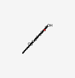 CCCCCCCCCCCC(=O)OCCOCCOCCOCCOCCOCCOCCOCCO